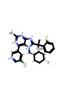 COC(C)(c1ccccc1F)c1nc2nc(C#N)nc(-c3cncc(Cl)c3)c2n1C[C@H]1CC[C@H](C)CC1